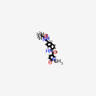 [2H]C([2H])([2H])c1nc(-c2ccc3c(c2)CC[C@H]3NC(=O)c2ccc(=O)n(C)c2)no1